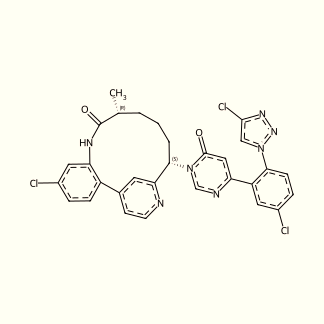 C[C@@H]1CCC[C@H](n2cnc(-c3cc(Cl)ccc3-n3cc(Cl)nn3)cc2=O)c2cc(ccn2)-c2ccc(Cl)cc2NC1=O